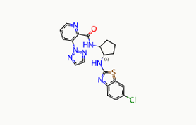 O=C(NC1CCC[C@@H]1Nc1nc2ccc(Cl)cc2s1)c1ncccc1-n1nccn1